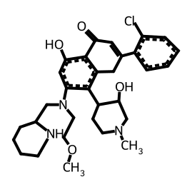 COCCN(CC1CCCCN1)c1cc(O)c2c(c1C1CCN(C)CC1O)CC(c1ccccc1Cl)=CC2=O